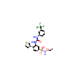 CCONS(=O)(=O)c1ccc(-c2ccsc2)c(NC(=O)Nc2cccc(C(F)(F)F)c2)c1